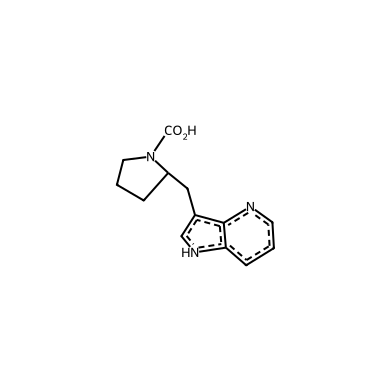 O=C(O)N1CCCC1Cc1c[nH]c2cccnc12